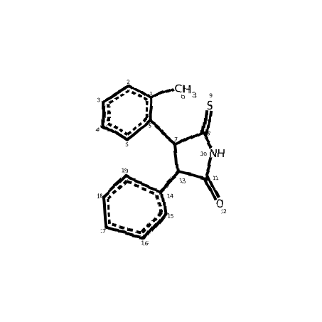 Cc1ccccc1C1C(=S)NC(=O)C1c1ccccc1